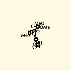 CNc1ncc2cc(-c3cc(OC)cc(OC)c3Cl)c(=O)n(CCc3ccc(NC(=O)C(C#N)=C(C)C)cc3)c2n1